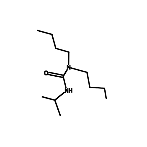 CCCCN(CCCC)C(=O)NC(C)C